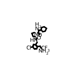 NC(Cc1ccc(Cl)cc1CNC(=O)[C@@H]1CCCN1C(=O)[C@H](N)C1CCCCC1)C(F)(F)F